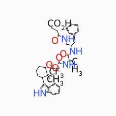 C[C@@H](NC(=O)OO[C@H]1CCCC(c2c[nH]c3ccccc23)C1(C)C(F)(F)F)C(=O)N[C@@H](CNC(=O)CCC(=O)O)Cc1ccccc1